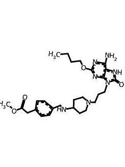 CCCCOc1nc(N)c2[nH]c(=O)n(CCCN3CCC(NCc4ccc(CC(=O)OC)cc4)CC3)c2n1